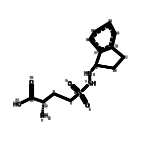 N[C@@H](CCS(=O)(=O)NNC1CCc2ccccc21)C(=O)O